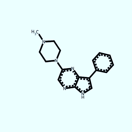 CN1CCN(c2cnc3[nH]cc(-c4ccccc4)c3n2)CC1